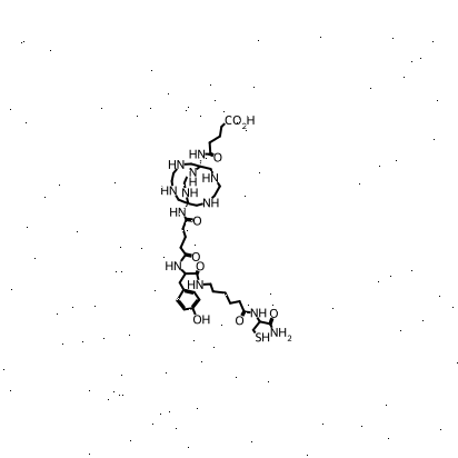 NC(=O)C(CS)NC(=O)CCCCCNC(=O)C(Cc1ccc(O)cc1)NC(=O)CCCC(=O)N[C@]12CNCCNC[C@](NC(=O)CCCC(=O)O)(CNCCNC1)NCCN2